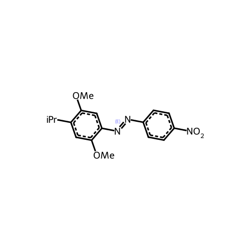 COc1cc(C(C)C)c(OC)cc1/N=N/c1ccc([N+](=O)[O-])cc1